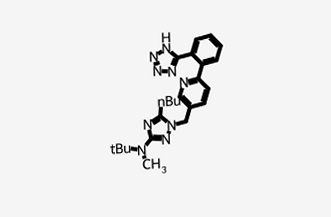 CCCCc1nc(N(C)C(C)(C)C)nn1Cc1ccc(-c2ccccc2-c2nnn[nH]2)nc1